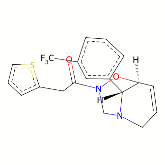 O=C(Cc1cccs1)N1CN2CC=C[C@H](O1)[C@H]2c1cccc(C(F)(F)F)c1